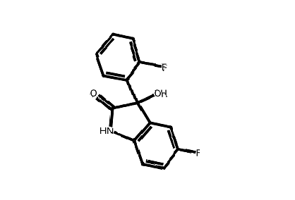 O=C1Nc2ccc(F)cc2C1(O)c1ccccc1F